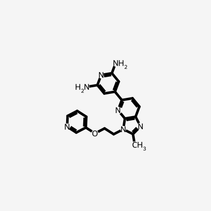 Cc1nc2ccc(-c3cc(N)nc(N)c3)nc2n1CCOc1cccnc1